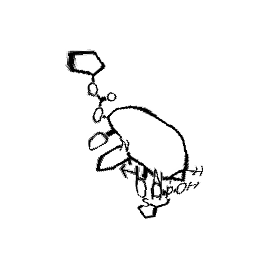 O=C(OC1CCCC1)O[C@H]1CCCCCCC[C@@H]2C[C@@]2(P(=O)(O)CC2=CCCS2)NC(=O)[C@@H]2CCCN2C1=O